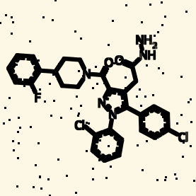 NNC(=O)Cc1c(C(=O)N2CCC(c3ccccc3F)CC2)nn(-c2ccccc2Cl)c1-c1ccc(Cl)cc1